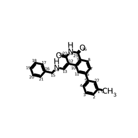 Cc1cccc(-c2ccc3c(c2)C(=CNCc2ccccc2)C(=O)NC3=O)c1